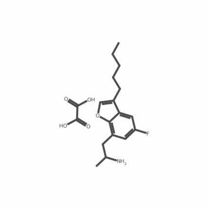 CCCCCc1coc2c(CC(C)N)cc(F)cc12.O=C(O)C(=O)O